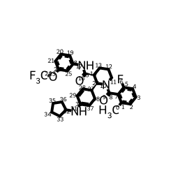 Cc1cccc(F)c1C(=O)N1CCC[C@H](C(=O)Nc2cccc(OC(F)(F)F)c2)[C@@H]1C1C=CC(NC2CCCC2)=CC1